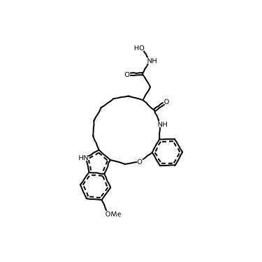 COc1ccc2[nH]c3c(c2c1)COc1ccccc1NC(=O)C(CC(=O)NO)CCCCC3